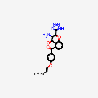 CCCCCCC=COc1ccc(C(=O)c2cccc3oc(-c4nnn[nH]4)c(N)c(=O)c23)cc1